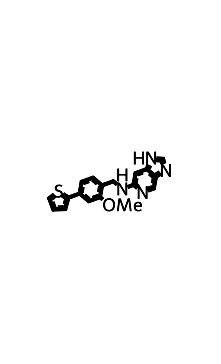 COc1cc(-c2cccs2)ccc1CNc1cc2[nH]cnc2cn1